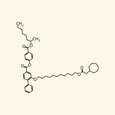 CCCCCCC(C)OC(=O)c1ccc(OC(=O)c2ccc(-c3ccccc3)c(OCCCCCCCCCCCOC(=O)CC3CCCCCC3)c2)cc1